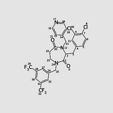 O=C1C(Cc2ccc(Cl)c(Cl)c2)N(Cc2ccncc2)C(=O)CCN1Cc1cc(C(F)(F)F)cc(C(F)(F)F)c1